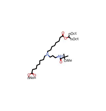 CCCCCCCCCOC(=O)CCCCCCCN(CCCCCCCC(=O)OC(CCCCCCCC)CCCCCCCC)CCCNC(=O)C(C)(C)OC